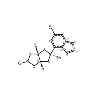 CC(=O)N1C[C@@H]2C[C@@](O)(c3cc(Cl)cn4cncc34)C[C@@H]2C1